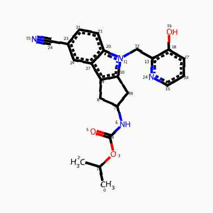 CC(C)OC(=O)NC1Cc2c(n(Cc3ncccc3O)c3ccc(C#N)cc23)C1